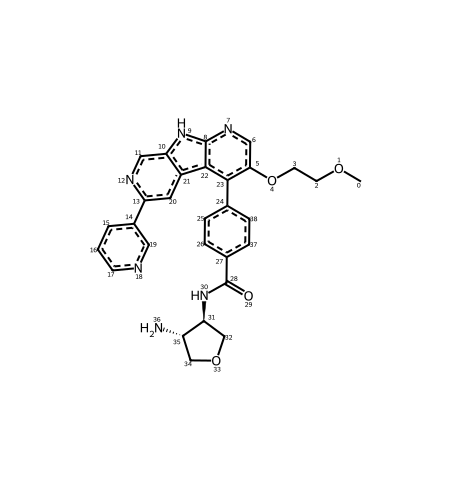 COCCOc1cnc2[nH]c3cnc(-c4cccnc4)cc3c2c1-c1ccc(C(=O)N[C@H]2COC[C@@H]2N)cc1